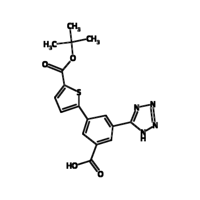 CC(C)(C)OC(=O)c1ccc(-c2cc(C(=O)O)cc(-c3nnn[nH]3)c2)s1